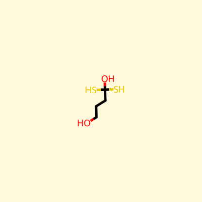 OCCCC(O)(S)S